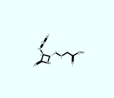 COC(=O)CSC[C@@H]1NC(=O)[C@H]1N=[N+]=[N-]